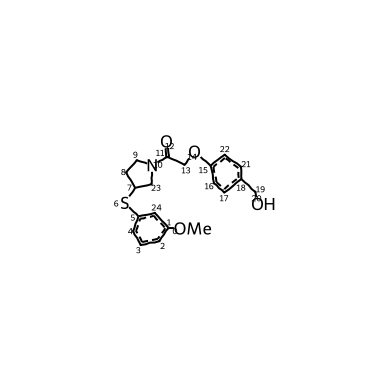 COc1cccc(SC2CCN(C(=O)COc3ccc(CO)cc3)C2)c1